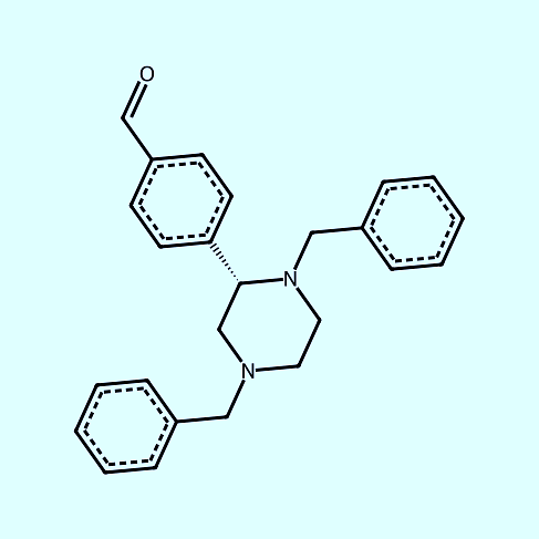 O=Cc1ccc([C@H]2CN(Cc3ccccc3)CCN2Cc2ccccc2)cc1